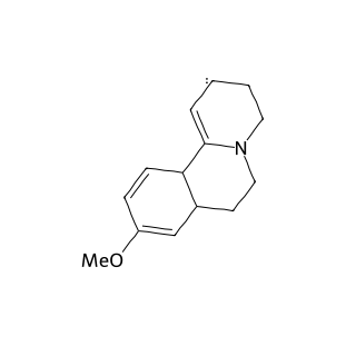 COC1=CC2CCN3CC[C]C=C3C2C=C1